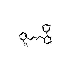 FC(F)(F)c1ccccc1/[C]=N/OCc1ccccc1-c1ccccc1